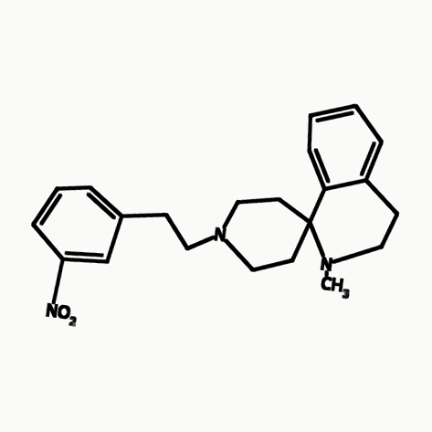 CN1CCc2ccccc2C12CCN(CCc1cccc([N+](=O)[O-])c1)CC2